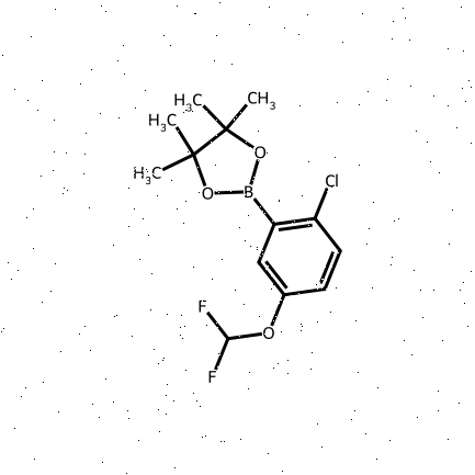 CC1(C)OB(c2cc(OC(F)F)ccc2Cl)OC1(C)C